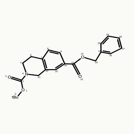 CC(C)(C)OC(=O)N1CCc2ccc(C(=O)OCc3ccccc3)cc2C1